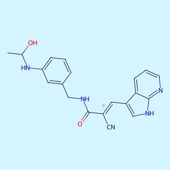 CC(O)Nc1cccc(CNC(=O)/C(C#N)=C/c2c[nH]c3ncccc23)c1